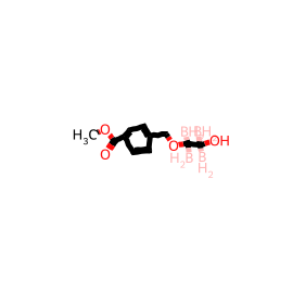 BC(B)(O)C(B)(B)OCc1ccc(C(=O)OC)cc1